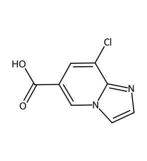 O=C(O)c1cc(Cl)c2nccn2c1